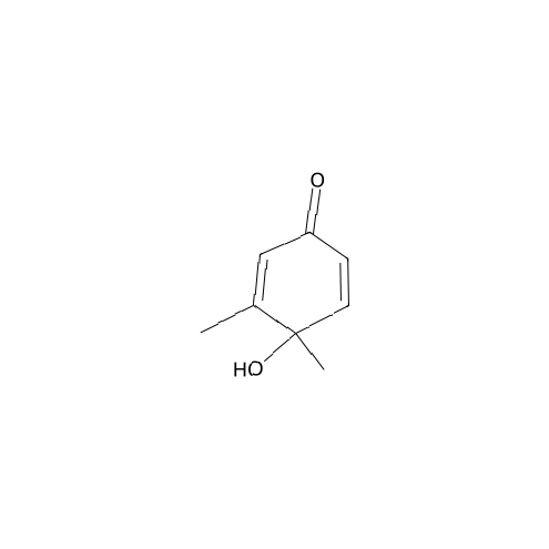 CC1=CC(=O)C=CC1(C)O